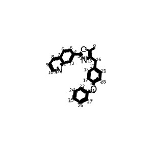 Cc1oc(-c2ccc3cccnc3c2)nc1Cc1ccc(Oc2ccccc2)cc1